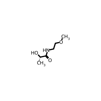 COCCNC(=O)[C@H](C)O